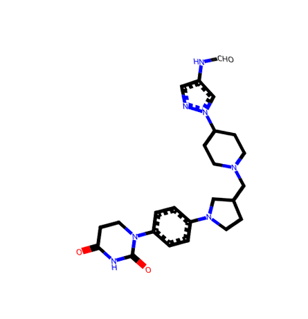 O=CNc1cnn(C2CCN(CC3CCN(c4ccc(N5CCC(=O)NC5=O)cc4)C3)CC2)c1